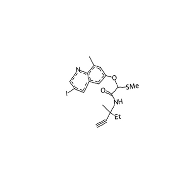 C#CC(C)(CC)NC(=O)C(Oc1cc(C)c2ncc(I)cc2c1)SC